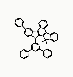 CC1(C)c2ccccc2-c2c1c1c(c3ccccc23)c2cc(-c3ccccc3)ccc2n1-c1cc(-c2ccccc2)nc(-c2ccccc2)n1